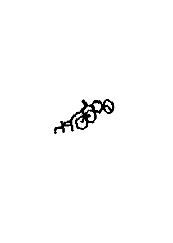 CCCCCCC(C(=O)O)=C(C)c1ccc(OC)cc1